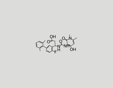 Cc1cccc(C)c1-c1ccc(F)c(C(CC(=O)O)NC(=O)Nc2c(O)cc(C)n(C)c2=O)c1